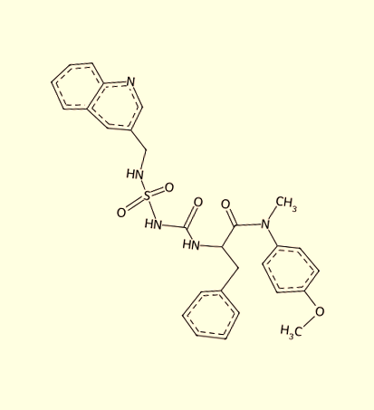 COc1ccc(N(C)C(=O)C(Cc2ccccc2)NC(=O)NS(=O)(=O)NCc2cnc3ccccc3c2)cc1